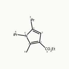 CCOC(=O)c1cc(C(C)C)n(C(C)C)c1C